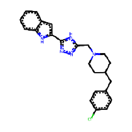 Clc1ccc(CC2CCN(Cc3nnc(-c4cc5ccccc5[nH]4)[nH]3)CC2)cc1